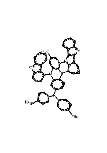 Cc1cc2c3c(c1)-n1c4c(cccc4c4sc5ccccc5c41)B3c1ccc(N(c3ccc(C(C)(C)C)cc3)c3ccc(C(C)(C)C)cc3)cc1N2c1cccc2oc3ccccc3c12